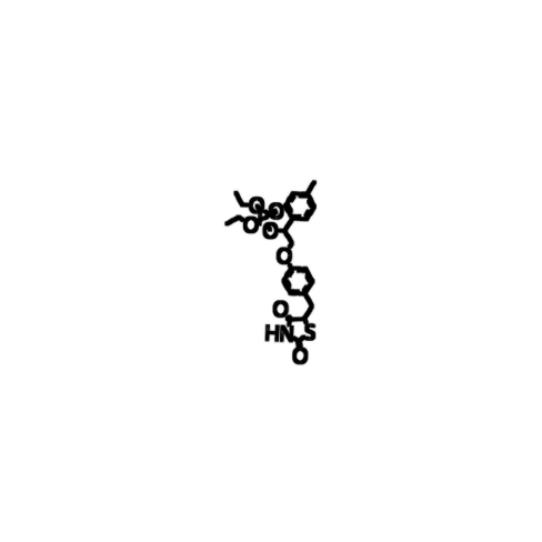 CCOP(=O)(OCC)OC(COc1ccc(CC2SC(=O)NC2=O)cc1)c1ccc(C)cc1